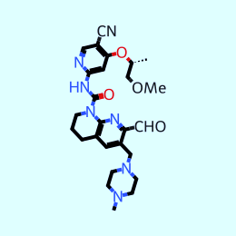 COC[C@@H](C)Oc1cc(NC(=O)N2CCCc3cc(CN4CCN(C)CC4)c(C=O)nc32)ncc1C#N